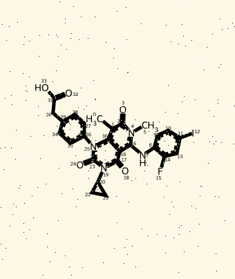 Cc1c(=O)n(C)c(Nc2ccc(I)cc2F)c2c(=O)n(C3CC3)c(=O)n(-c3ccc(CC(=O)O)cc3)c12